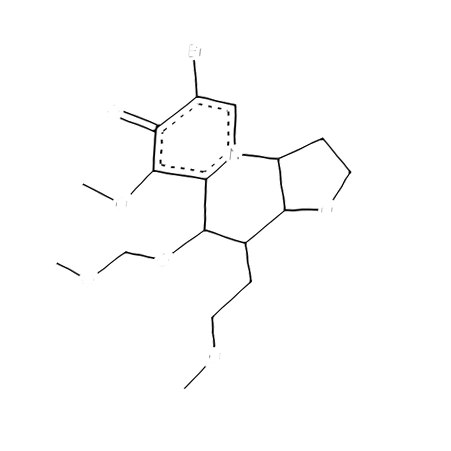 COCCC1C(OCOC)c2c(OC)c(=O)c(Br)cn2C2CCOC12